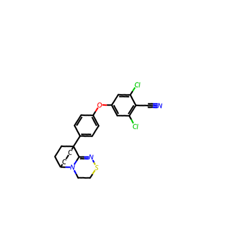 N#Cc1c(Cl)cc(Oc2ccc(C34CCC(CC3)N3CCSN=C34)cc2)cc1Cl